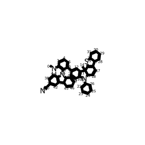 CNc1cccc(-c2ccc3c(c2)C2(C)C4=C(C=CC2N3c2ccccc2)C2C=CC=CC2S4)c1N1c2ccc(C#N)cc2C2C=CC=CC21